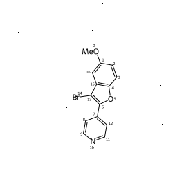 COc1ccc2oc(-c3ccncc3)c(Br)c2c1